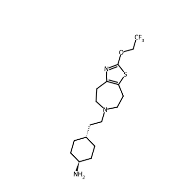 N[C@H]1CC[C@H](CCN2CCc3nc(OCC(F)(F)F)sc3CC2)CC1